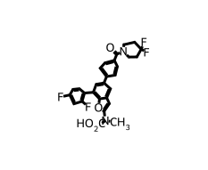 CN(C(=O)O)c1cc2cc(-c3ccc(C(=O)N4CCC(F)(F)CC4)cc3)cc(-c3ccc(F)cc3F)c2o1